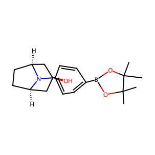 CC1(C)OB(c2ccc(N3[C@@H]4CC[C@H]3C[C@@H](O)C4)cc2)OC1(C)C